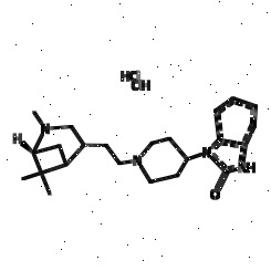 CN1CC(CCN2CCC(n3c(=O)[nH]c4ccccc43)CC2)C2C[C@@H]1C2(C)C.Cl.Cl